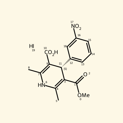 COC(=O)C1=C(C)NC(C)=C(C(=O)O)[C@@H]1c1cccc([N+](=O)[O-])c1.I